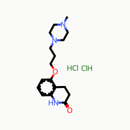 CN1CCN(CCCOc2cccc3c2CCC(=O)N3)CC1.Cl.Cl